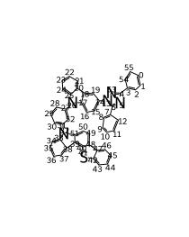 c1ccc(-c2nc(-c3ccccc3)n(-c3ccc4c(c3)c3ccccc3n4-c3cccc(-n4c5ccccc5c5c6sc7ccccc7c6ccc54)c3)n2)cc1